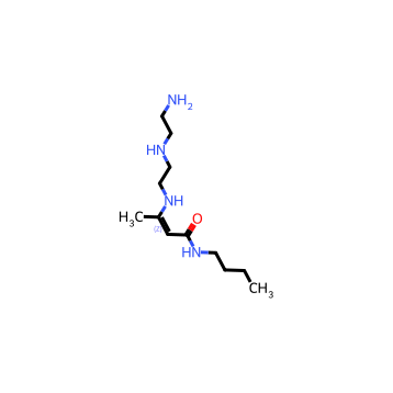 CCCCNC(=O)/C=C(/C)NCCNCCN